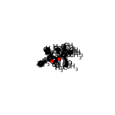 CC(C)c1[nH]nc(O[C@@H]2O[C@H](COC(=O)C(C)(C)C)[C@@H](OC(=O)C(C)(C)C)[C@H](OC(=O)C(C)(C)C)[C@H]2OC(=O)C(C)(C)C)c1Cc1ccc(OCc2ccccc2)cc1OC1CCOCC1